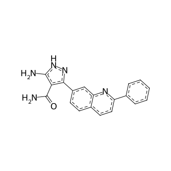 NC(=O)c1c(-c2ccc3ccc(-c4ccccc4)nc3c2)n[nH]c1N